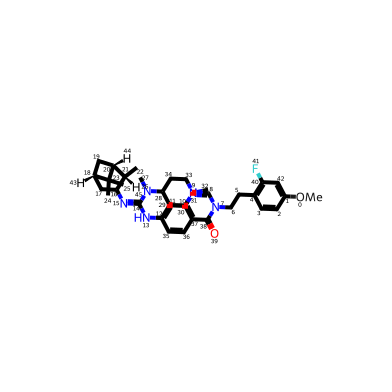 COc1ccc(CCn2cnc3cc(N/C(=N/C4C[C@@H]5C[C@H]([C@@H]4C)C5(C)C)N(C)C4CCN(C)CC4)ccc3c2=O)c(F)c1